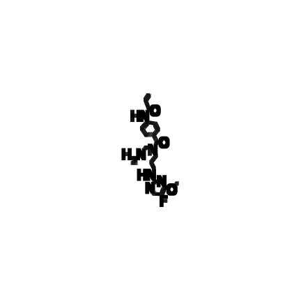 C=CC(=O)Nc1ccc(C(=O)N(CN)CCCNc2ncc(F)c(OC)n2)cc1